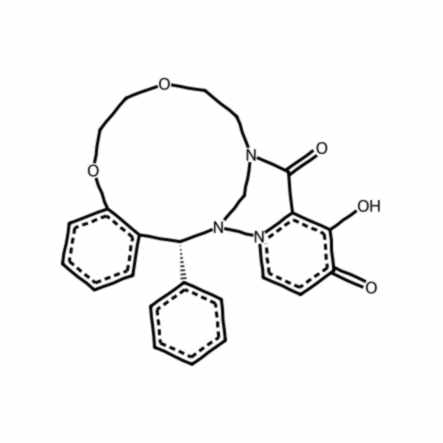 O=C1c2c(O)c(=O)ccn2N2CN1CCOCCOc1ccccc1[C@H]2c1ccccc1